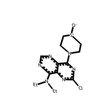 CCN(CC)c1ncnc2c(N3CC[S+]([O-])CC3)nc(Cl)nc12